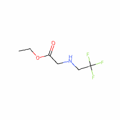 CCOC(=O)CNCC(F)(F)F